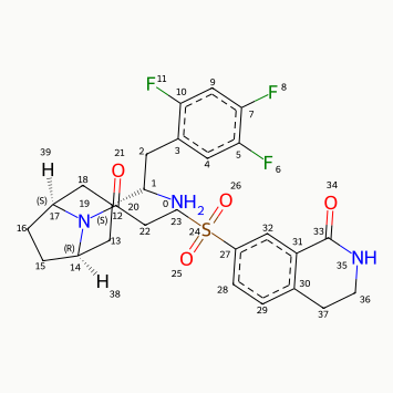 NC(Cc1cc(F)c(F)cc1F)[C@@H]1C[C@H]2CC[C@@H](C1)N2C(=O)CCS(=O)(=O)c1ccc2c(c1)C(=O)NCC2